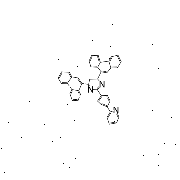 c1ccc(-c2ccc(C3=NC(c4cc5ccccc5c5ccccc45)CC(c4cc5ccccc5c5ccccc45)=N3)cc2)nc1